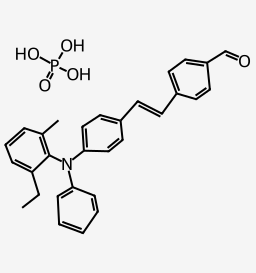 CCc1cccc(C)c1N(c1ccccc1)c1ccc(C=Cc2ccc(C=O)cc2)cc1.O=P(O)(O)O